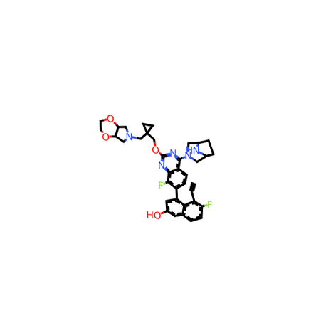 C#Cc1c(F)ccc2cc(O)cc(-c3ccc4c(N5CC6CCC(C5)N6)nc(OCC5(CN6CC7OCCOC7C6)CC5)nc4c3F)c12